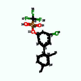 Cc1ccc(-c2cc(Cl)cc(OS(=O)(=O)C(F)(F)F)c2)c(C)c1